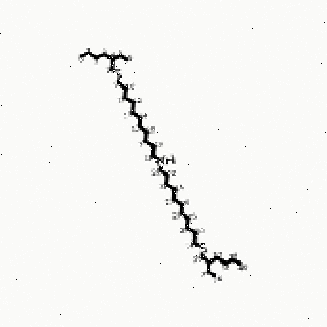 CCCCC(CC)CSCCCCCCCCCCCNCCCCCCCCCCCSCC(CC)CCCC